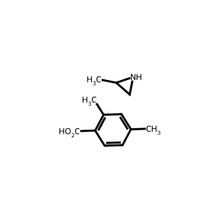 CC1CN1.Cc1ccc(C(=O)O)c(C)c1